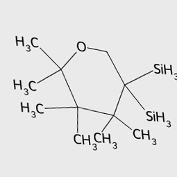 CC1(C)OCC([SiH3])([SiH3])C(C)(C)C1(C)C